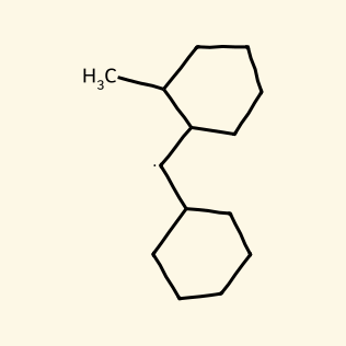 CC1CCCCC1[CH]C1CCCCC1